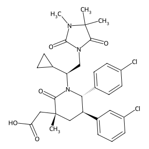 CN1C(=O)N(C[C@H](C2CC2)N2C(=O)[C@@](C)(CC(=O)O)C[C@H](c3cccc(Cl)c3)[C@H]2c2ccc(Cl)cc2)C(=O)C1(C)C